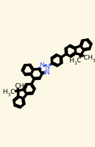 CC1(C)c2ccccc2-c2ccc(-c3ccc(-n4nc5cc(-c6ccc7c(c6)C(C)(C)c6ccccc6-7)c6ccccc6c5n4)cc3)cc21